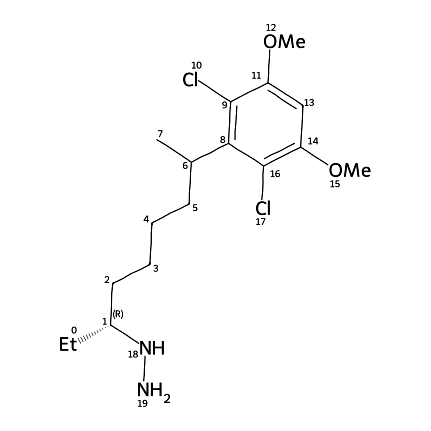 CC[C@H](CCCCC(C)c1c(Cl)c(OC)cc(OC)c1Cl)NN